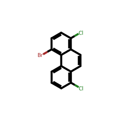 Clc1cccc2c1ccc1c(Cl)ccc(Br)c12